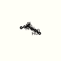 O=C(Nc1ccc(N2CCN(C(=O)C(O)c3ccccc3)CC2)nc1)c1oc(N2CCC(c3ccccc3)CC2)nc1C(F)(F)F